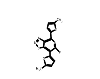 Cc1ccc(-c2nc(F)c(-c3ccc(C)s3)c3snnc23)s1